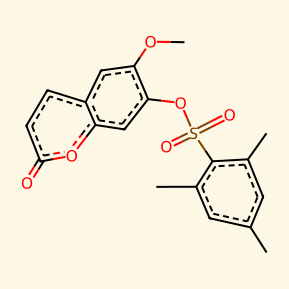 COc1cc2ccc(=O)oc2cc1OS(=O)(=O)c1c(C)cc(C)cc1C